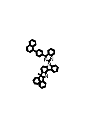 CC1(c2ccccc2)C(c2ccccc2)=Nc2c1ccc1c2c2ccccc2n1-c1nc(-c2ccc(-c3cccc4ccccc34)cc2)c2ccccc2n1